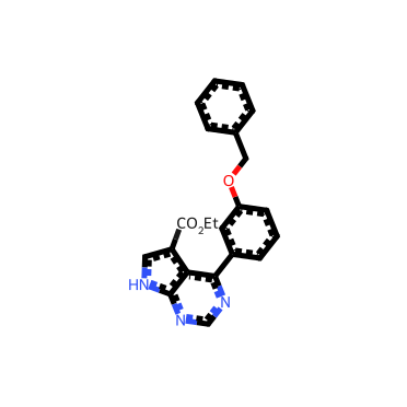 CCOC(=O)c1c[nH]c2ncnc(-c3cccc(OCc4ccccc4)c3)c12